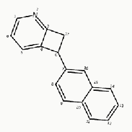 c1cnc2c(c1)C(c1ccc3ccccc3c1)C2